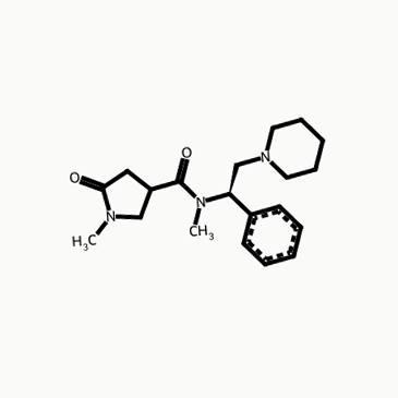 CN1CC(C(=O)N(C)[C@@H](CN2CCCCC2)c2ccccc2)CC1=O